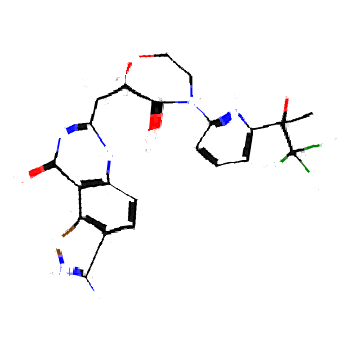 CC(O)(c1cccc(N2CCO[C@H]([C@@H](O)c3nc(=O)c4c(ccc5c(N)nsc54)[nH]3)C2=O)n1)C(F)(F)F